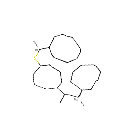 CC(C1CCCC(S[C@H](C)C2CCCCCCC2)CCC1)[C@@H](C)C1CCCCCCC1